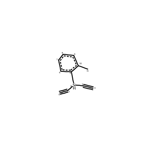 C#C[SiH](C#C)c1ccccc1C